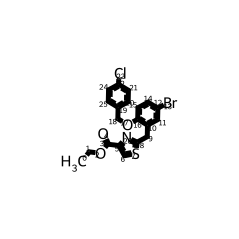 CCOC(=O)c1csc(Cc2cc(Br)ccc2OCc2ccc(Cl)cc2)n1